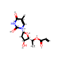 C=CC(=O)OC(CC)[C@H]1O[C@@H](n2cc(C)c(=O)[nH]c2=O)C[C@@H]1O